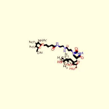 CC(=O)NC1C(OCCCCC(=O)NCCNC(=O)CCn2cc([C@@H]3O[C@H](CO)C(O)C3CC(C)(C)[Si](C)(C)O)c(=O)[nH]c2=O)OC(COC(C)=O)C(OC(C)=O)C1OC(C)=O